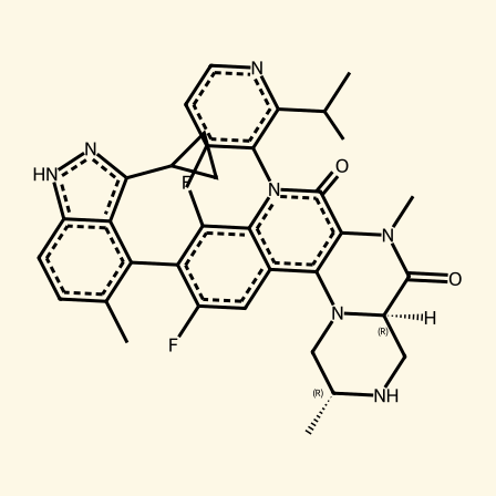 Cc1ccnc(C(C)C)c1-n1c(=O)c2c(c3cc(F)c(-c4c(C)ccc5[nH]nc(C6CC6)c45)c(F)c31)N1C[C@@H](C)NC[C@@H]1C(=O)N2C